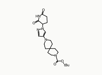 CC(C)(C)OC(=O)N1CCC2(CC1)CCN(c1cnn(C3CCC(=O)NC3=O)c1)CC2